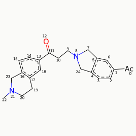 CC(=O)c1ccc2c(c1)CN(CCC(=O)c1ccc3c(c1)CCN(C)C3)C2